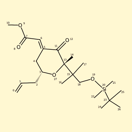 C=CC[C@@H]1C/C(=C\C(=O)OC)C(=O)[C@](C)(C(C)(C)CO[Si](C)(C)C(C)(C)C)O1